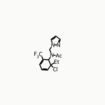 CCC1(Cl)C=CC=C(C(F)(F)F)C1N(Cn1cccn1)C(C)=O